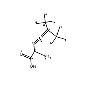 CC(C)(C)C(=C=CC(N)C(=O)O)C(C)(C)C